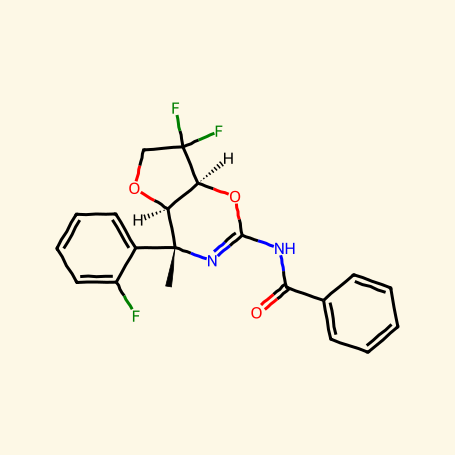 C[C@]1(c2ccccc2F)N=C(NC(=O)c2ccccc2)O[C@H]2[C@@H]1OCC2(F)F